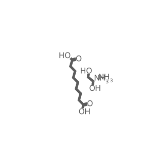 N.N.O=C(O)CCCCCCCC(=O)O.OCCO